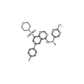 C[C@@H](Nc1ncnc2c(S(=O)(=O)N3CCOCC3)cc(-c3ccc(F)cc3)cc12)c1cnc(C(F)(F)F)nc1